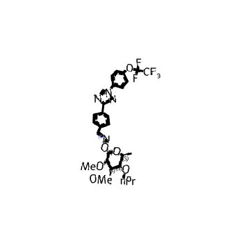 CCCO[C@@H]1[C@@H](OC)[C@@H](OC)[C@H](O/N=C/c2ccc(-c3ncn(-c4ccc(OC(F)(F)C(F)(F)F)cc4)n3)cc2)O[C@H]1C